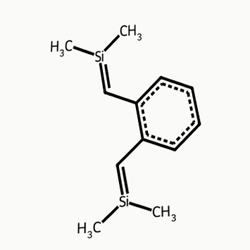 C[Si](C)=Cc1ccccc1C=[Si](C)C